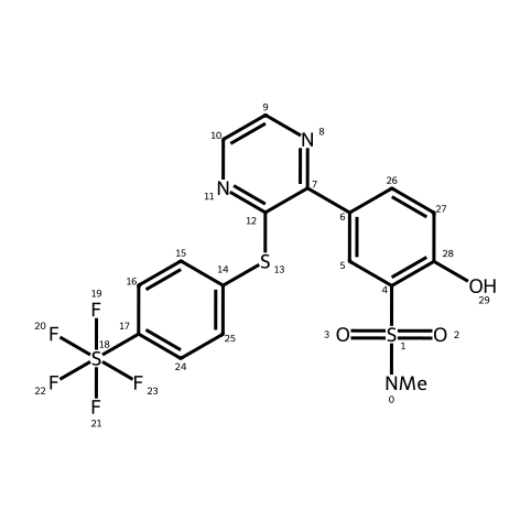 CNS(=O)(=O)c1cc(-c2nccnc2Sc2ccc(S(F)(F)(F)(F)F)cc2)ccc1O